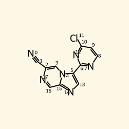 N#Cc1cn2c(-c3nccc(Cl)n3)cnc2cn1